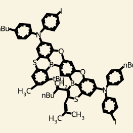 C=C(CCCC)C1=C(C=C(C)C)Sc2cc(N(c3ccc(I)cc3)c3ccc(CCCC)cc3)cc3c2B1c1cc2c(cc1O3)Oc1cc(N(c3ccc(I)cc3)c3ccc(CCCC)cc3)cc3c1B2c1c(cc(C)cc1C(C)(C)C)S3